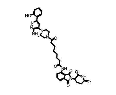 Nc1nnc(-c2ccccc2O)cc1N1CCN(C(=O)CCCCCCC(=O)Nc2cccc3c2C(=O)N(C2CCC(=O)NC2=O)C3=O)CC1